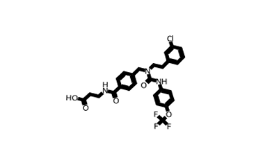 O=C(O)CCNC(=O)c1ccc(CN(CCc2cccc(Cl)c2)C(=O)Nc2ccc(OC(F)(F)F)cc2)cc1